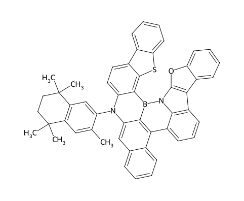 Cc1cc2c(cc1N1c3cc4ccccc4c4c3B(c3c1ccc1c3sc3ccccc31)n1c3oc5ccccc5c3c3cccc-4c31)C(C)(C)CCC2(C)C